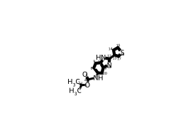 CC(C)OC(=O)Nc1ccc2[nH]c(-c3ccsc3)nc2c1